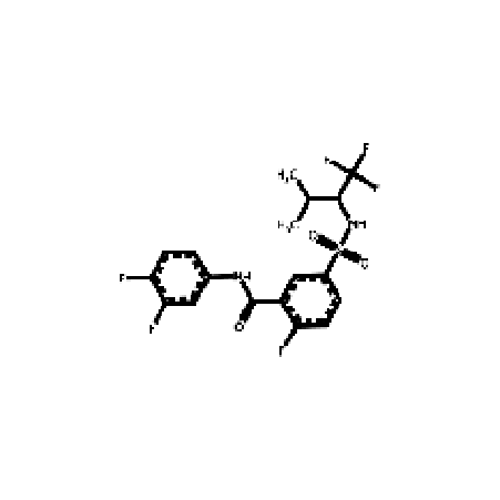 CC(C)C(NS(=O)(=O)c1ccc(F)c(C(=O)Nc2ccc(F)c(F)c2)c1)C(F)(F)F